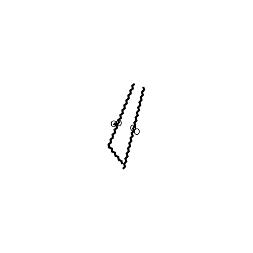 CCCCCCCC/C=C\CCCCCCCC(=O)OCCCCCCCCCCCCCCCC.CCCCCCCCCCCCCCCCOC(=O)CCCCCCCCCCCCCCC